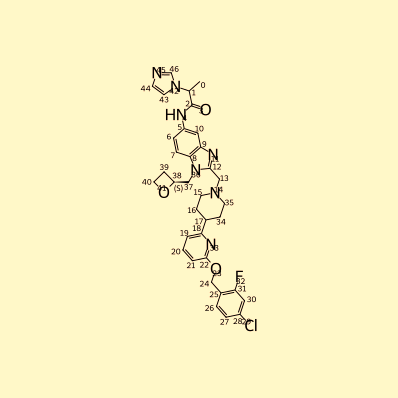 CC(C(=O)Nc1ccc2c(c1)nc(CN1CCC(c3cccc(OCc4ccc(Cl)cc4F)n3)CC1)n2C[C@@H]1CCO1)n1ccnc1